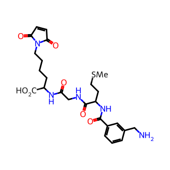 CSCCC(NC(=O)c1cccc(CN)c1)C(=O)NCC(=O)NC(CCCCN1C(=O)C=CC1=O)C(=O)O